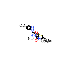 CC(=O)OCC1=C(C(=O)[O-])N2C(=O)C(NC(=O)CNc3ccc([N+](=O)[O-])cc3)[C@H]2SC1.[Na+]